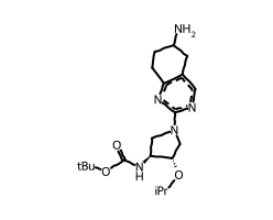 CC(C)O[C@H]1CN(c2ncc3c(n2)CCC(N)C3)C[C@@H]1NC(=O)OC(C)(C)C